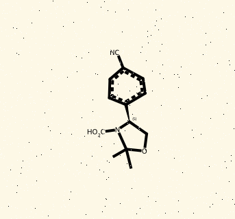 CC1(C)OC[C@H](c2ccc(C#N)cc2)N1C(=O)O